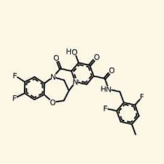 Cc1cc(F)c(CNC(=O)c2cn3c(c(O)c2=O)C(=O)N2CC3COc3cc(F)c(F)cc32)c(F)c1